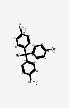 [CH2]c1ccc(C(Br)(c2ccc([CH2])cc2)c2ccc(Br)cc2)cc1